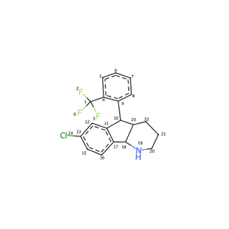 FC(F)(F)c1ccccc1C1c2cc(Cl)ccc2C2NCCCC21